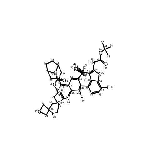 CCCCOC(=O)N1C2CCC1CN(c1nc(OCC3(F)COC3)nc3c(F)c(-c4ccc(F)c5sc(NC(=O)OC(C)(C)C)c(C#N)c45)c(C(F)(F)F)cc13)C2